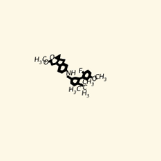 COC(=O)CC1c2ccc(NCc3ccc(C(C)(C)C)c(-c4cc(OC)ccc4F)c3)cc2CC12CC2